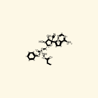 CCC(=O)ON[P@](=O)(OC[C@H]1O[C@@](C#N)(c2ccc3c(N)ncnn23)[C@H](O)[C@@H]1O)Oc1ccccc1